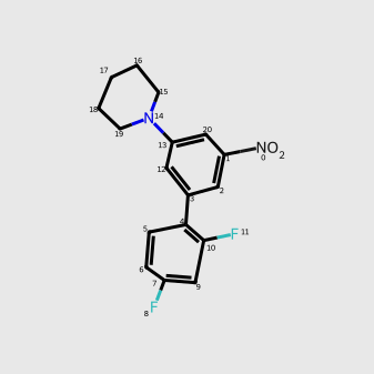 O=[N+]([O-])c1cc(-c2ccc(F)cc2F)cc(N2CCCCC2)c1